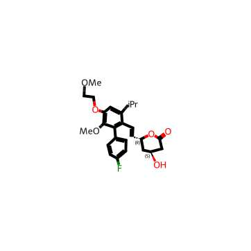 COCCOc1cc(C(C)C)c(C=C[C@H]2C[C@H](O)CC(=O)O2)c(-c2ccc(F)cc2)c1OC